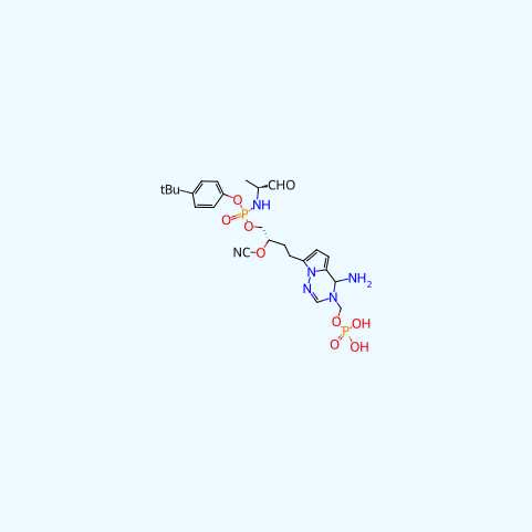 C[C@@H](C=O)NP(=O)(OC[C@H](CCc1ccc2n1N=CN(COP(=O)(O)O)C2N)OC#N)Oc1ccc(C(C)(C)C)cc1